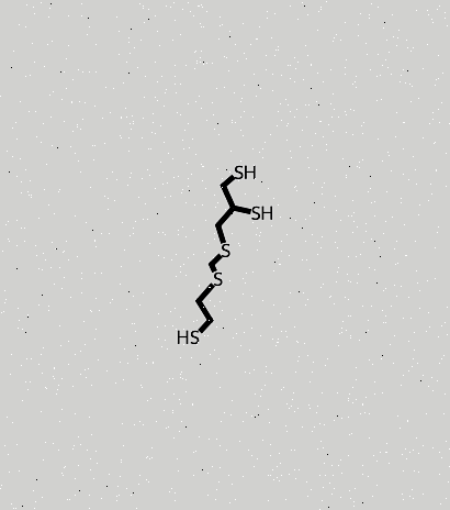 SCCSCSCC(S)CS